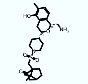 Cc1ccc2c(c1O)C[C@@H](C1CCN(S(=O)(=O)CC34CCC(CC3=O)C4(C)C)CC1)O[C@H]2CN